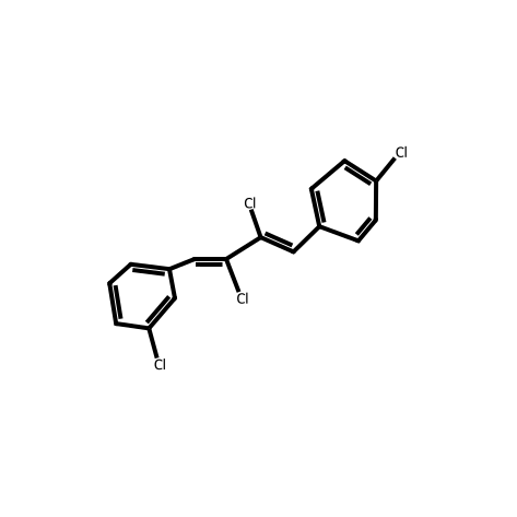 ClC(=Cc1ccc(Cl)cc1)C(Cl)=Cc1cccc(Cl)c1